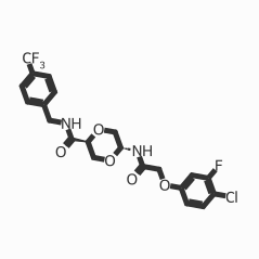 O=C(COc1ccc(Cl)c(F)c1)N[C@H]1CO[C@H](C(=O)NCc2ccc(C(F)(F)F)cc2)CO1